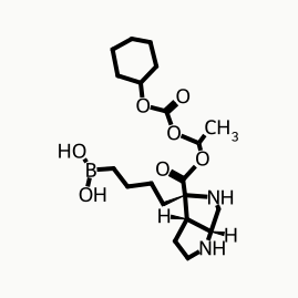 CC(OC(=O)OC1CCCCC1)OC(=O)[C@]1(CCCCB(O)O)NC[C@@H]2NCC[C@@H]21